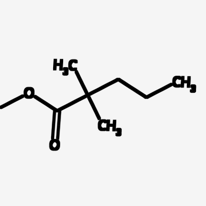 CCCC(C)(C)C(=O)OI